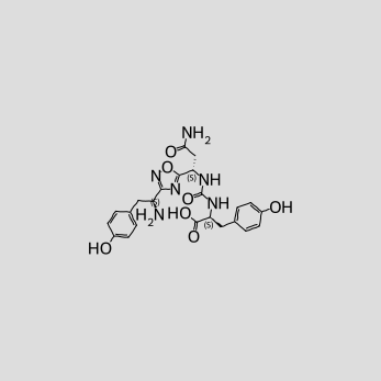 NC(=O)C[C@H](NC(=O)N[C@@H](Cc1ccc(O)cc1)C(=O)O)c1nc([C@@H](N)Cc2ccc(O)cc2)no1